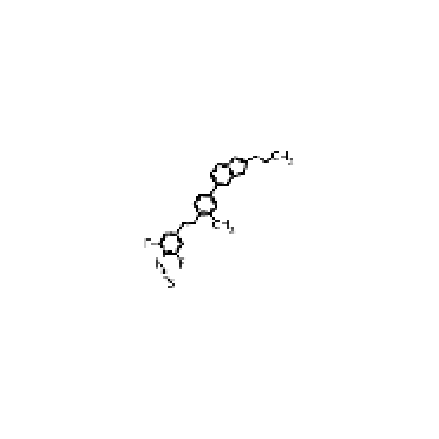 CCCC1=Cc2ccc(-c3ccc(CCc4cc(F)c(N=C=S)c(F)c4)c(C)c3)cc2C1